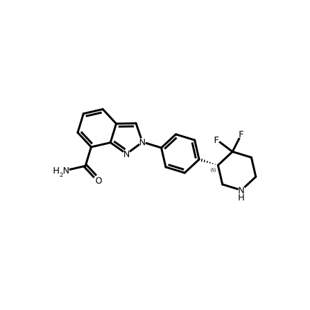 NC(=O)c1cccc2cn(-c3ccc([C@H]4CNCCC4(F)F)cc3)nc12